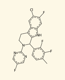 Cc1ccc(C2c3[nH]c4cc(F)c(Cl)cc4c3CCN2c2ncc(F)cn2)c(F)c1F